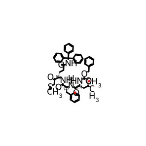 CSCC(=O)[C@H](CCC(=O)NC(c1ccccc1)(c1ccccc1)c1ccccc1)NC(=O)[C@H](Cc1ccccc1)NC(=O)[C@H](CC(C)C)NC(=O)OCc1ccccc1